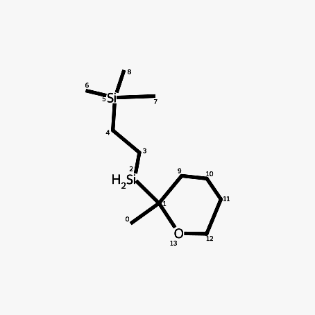 CC1([SiH2]CC[Si](C)(C)C)CCCCO1